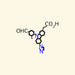 Cc1cc(C=O)ccc1-n1c2ccc(-n3ccnc3)cc2c2ccc(CCC(=O)O)cc21